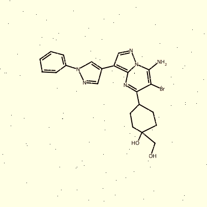 Nc1c(Br)c(C2CCC(O)(CO)CC2)nc2c(-c3cnn(-c4ccccc4)c3)cnn12